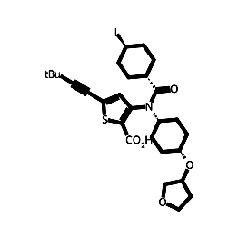 CC(C)(C)C#Cc1cc(N(C(=O)[C@H]2CC[C@H](I)CC2)[C@H]2CC[C@@H](OC3CCOC3)CC2)c(C(=O)O)s1